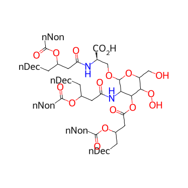 CCCCCCCCCCCC(CC(=O)NC1C(OC[C@@H](NC(=O)CC(CCCCCCCCCCC)OC(=O)CCCCCCCCC)C(=O)O)OC(CO)C(OO)C1OC(=O)CC(CCCCCCCCCCC)OC(=O)CCCCCCCCC)OC(=O)CCCCCCCCC